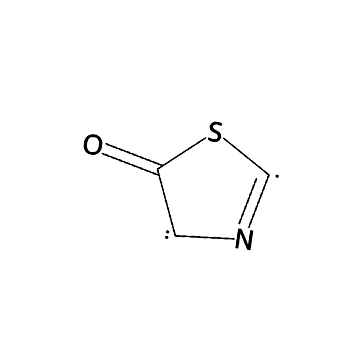 O=C1[C]N=[C]S1